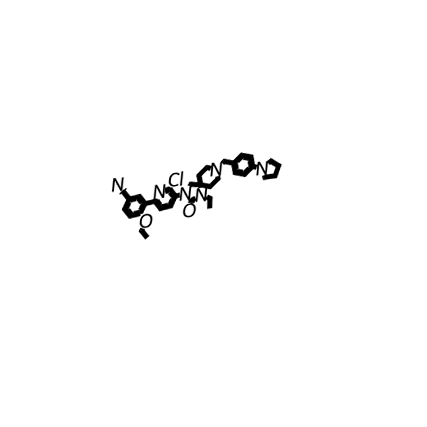 CCOc1ccc(C#N)cc1-c1ccc(N2CC3(CCN(Cc4ccc(N5CCCC5)cc4)CC3)N(CC)C2=O)c(Cl)n1